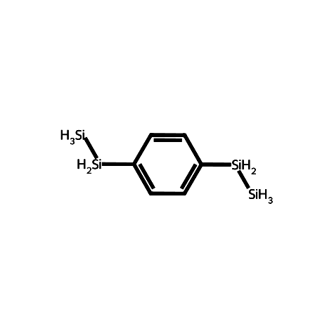 [SiH3][SiH2]c1ccc([SiH2][SiH3])cc1